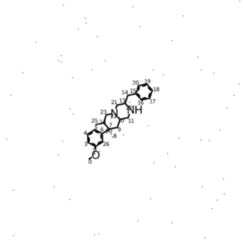 COc1cccc([C@]2(C)CC3CNC(Cc4ccccc4)CN3CC2C)c1